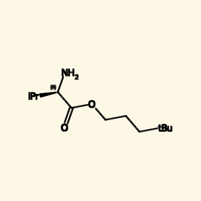 CC(C)[C@@H](N)C(=O)OCCCC(C)(C)C